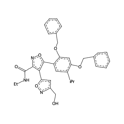 CCNC(=O)c1noc(-c2cc(C(C)C)c(OCc3ccccc3)cc2OCc2ccccc2)c1-c1cc(CO)no1